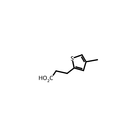 Cc1csc(CCC(=O)O)c1